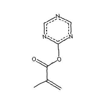 C=C(C)C(=O)Oc1ncncn1